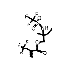 C=C(C(=O)OCC(C)(CC)NS(=O)(=O)C(F)(F)F)C(F)(F)F